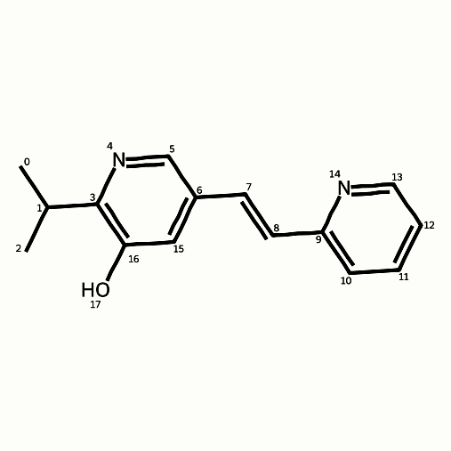 CC(C)c1ncc(/C=C/c2ccccn2)cc1O